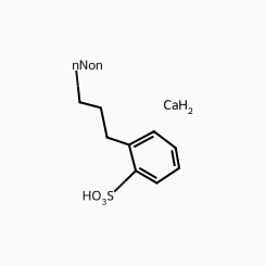 CCCCCCCCCCCCc1ccccc1S(=O)(=O)O.[CaH2]